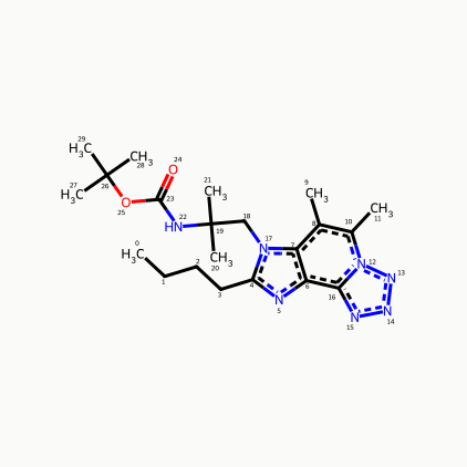 CCCCc1nc2c(c(C)c(C)n3nnnc23)n1CC(C)(C)NC(=O)OC(C)(C)C